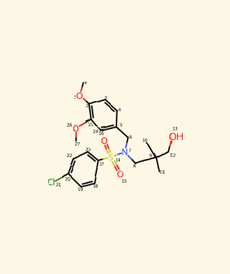 COc1ccc(CN(CC(C)(C)CO)S(=O)(=O)c2ccc(Cl)cc2)cc1OC